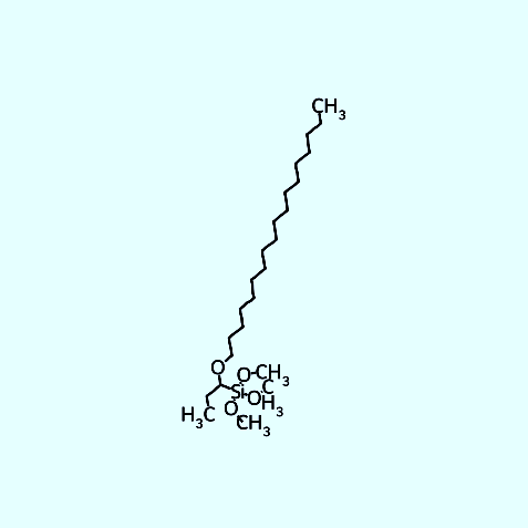 CCCCCCCCCCCCCCCCCCOC(CC)[Si](OC)(OC)OC